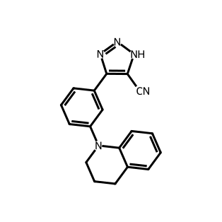 N#Cc1[nH]nnc1-c1cccc(N2CCCc3ccccc32)c1